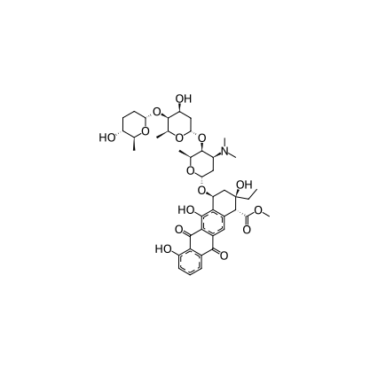 CC[C@@]1(O)C[C@H](O[C@H]2C[C@H](N(C)C)[C@H](O[C@H]3C[C@H](O)[C@H](O[C@H]4CC[C@@H](O)[C@H](C)O4)[C@H](C)O3)[C@H](C)O2)c2c(cc3c(c2O)C(=O)c2c(O)cccc2C3=O)[C@H]1C(=O)OC